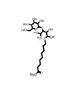 COC(=O)CCCCCCCCOC(O)C(O)C(OC1OC(CO)C(O)C(O)C1O)C(C)O